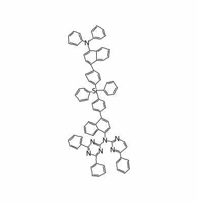 c1ccc(-c2ccnc(N(c3nc(-c4ccccc4)nc(-c4ccccc4)n3)c3ccc(-c4ccc([Si](c5ccccc5)(c5ccccc5)c5ccc(-c6ccc(N(c7ccccc7)c7ccccc7)c7ccccc67)cc5)cc4)c4ccccc34)n2)cc1